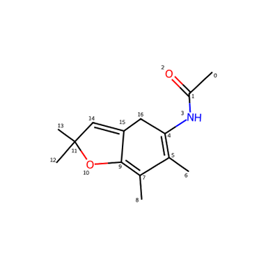 CC(=O)NC1=C(C)C(C)=C2OC(C)(C)C=C2C1